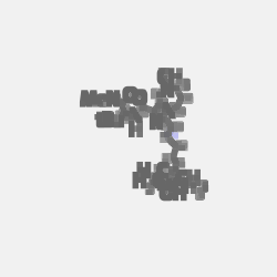 CNC(=O)[C@@H](NC(=O)c1nc(/C=C/CCCC(C)(C)[Si](C)(C)O)n2c1CN(C)CCC2)C(C)(C)C